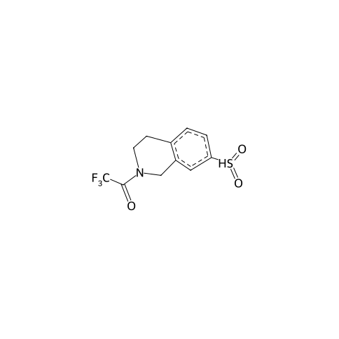 O=C(N1CCc2ccc([SH](=O)=O)cc2C1)C(F)(F)F